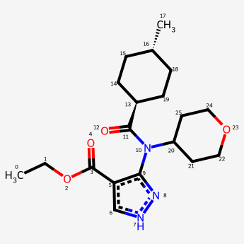 CCOC(=O)c1c[nH]nc1N(C(=O)[C@H]1CC[C@H](C)CC1)C1CCOCC1